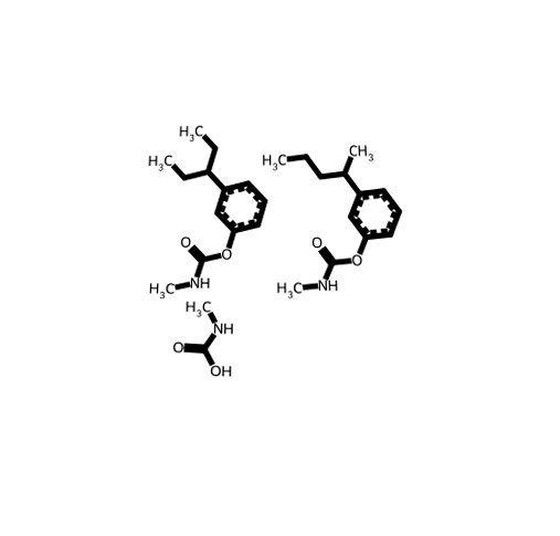 CCC(CC)c1cccc(OC(=O)NC)c1.CCCC(C)c1cccc(OC(=O)NC)c1.CNC(=O)O